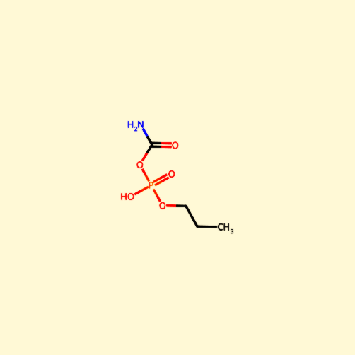 CCCOP(=O)(O)OC(N)=O